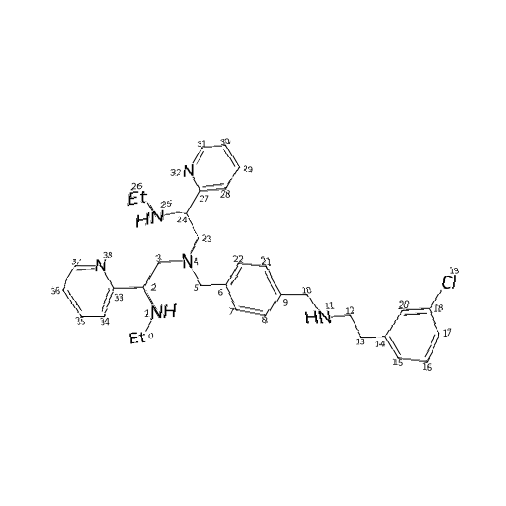 CCNC(CN(Cc1ccc(CNCCc2cccc(Cl)c2)cc1)CC(NCC)c1ccccn1)c1ccccn1